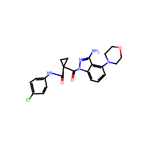 Nc1nn(C(=O)C2(C(=O)Nc3ccc(Cl)cc3)CC2)c2cccc(N3CCOCC3)c12